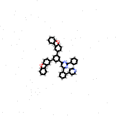 c1ccc(-c2nc(-c3cc(-c4ccc5oc6ccccc6c5c4)cc(-c4ccc5oc6ccccc6c5c4)c3)cc(-c3ccccc3-c3ccncc3)n2)cc1